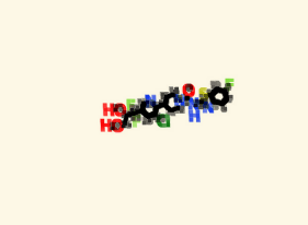 O=C(Nc1nc2ccc(F)cc2s1)N1CC=C(c2ncc(C(F)(F)[C@@H](O)CO)cc2Cl)CC1